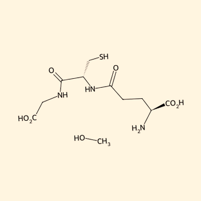 CO.N[C@@H](CCC(=O)N[C@@H](CS)C(=O)NCC(=O)O)C(=O)O